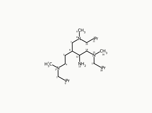 CC(C)CN(C)CCC(CN(C)CC(C)C)C(N)CN(C)CC(C)C